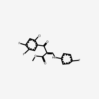 COC(=O)C(=CNc1ccc(F)cc1)C(=O)c1cc(F)c(F)cc1Cl